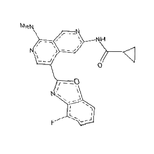 CNc1ncc(-c2nc3c(F)cccc3o2)c2cc(NC(=O)C3CC3)ncc12